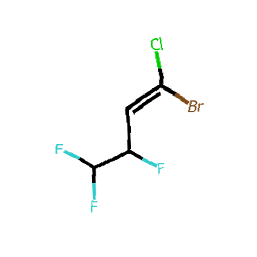 FC(F)C(F)C=C(Cl)Br